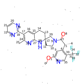 COc1cc([C@@H](C)C(=O)N2CC[C@@]3(CCc4cc(-c5ncccn5)c(C)nc4N3)C2)c(C(F)(F)F)cn1